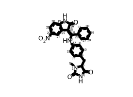 CN1C(=O)NC(=O)C1Cc1ccc(NC(=C2C(=O)Nc3ccc([N+](=O)[O-])cc32)c2ccccc2)cc1